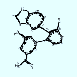 O=C(O)c1cc(O)cc(-c2cccc(Cl)c2-c2ccc3c(c2)CCO3)c1